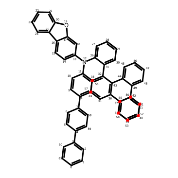 c1ccc(-c2ccc(-c3ccc(N(c4ccc5c(c4)oc4ccccc45)c4ccccc4-c4cccc(-c5ccccc5)c4-c4ccccc4-c4ccccc4)cc3)cc2)cc1